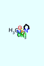 CN(C)S(=O)(=O)c1ccccn1.Cl.Cl